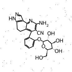 N#Cc1c(N)nc2c(c1-c1ccccc1O[C@@H]1O[C@H](CO)[C@@H](O)[C@H](O)[C@H]1O)CCc1[nH]ncc1-2